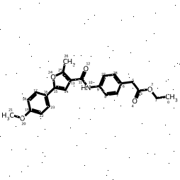 CCOC(=O)Cc1ccc(NC(=O)c2cc(-c3ccc(OC)cc3)oc2C)cc1